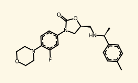 Cc1ccc([C@H](C)NC[C@H]2CN(c3ccc(N4CCOCC4)c(F)c3)C(=O)O2)cc1